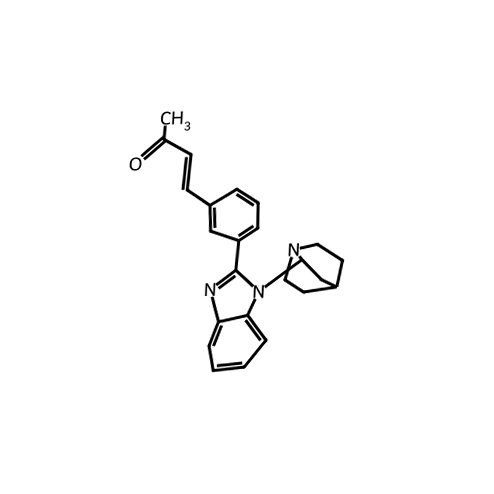 CC(=O)/C=C/c1cccc(-c2nc3ccccc3n2C2CC3CCN2CC3)c1